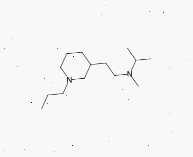 CCCN1CCCC(CCN(C)C(C)C)C1